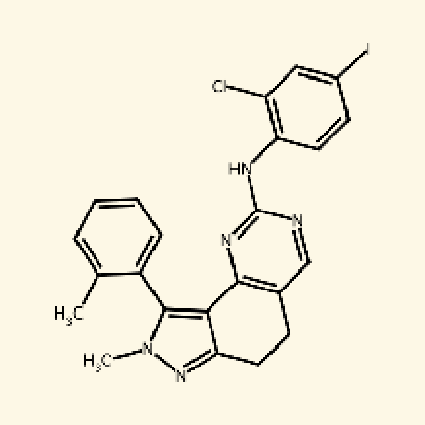 Cc1ccccc1-c1c2c(nn1C)CCc1cnc(Nc3ccc(I)cc3Cl)nc1-2